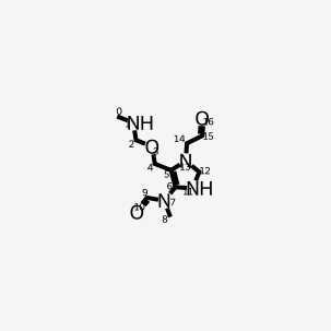 CNCOCC1=C(N(C)C=O)NCN1CC=O